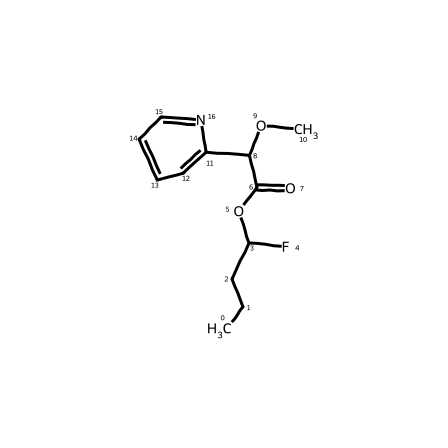 CCCC(F)OC(=O)C(OC)c1ccccn1